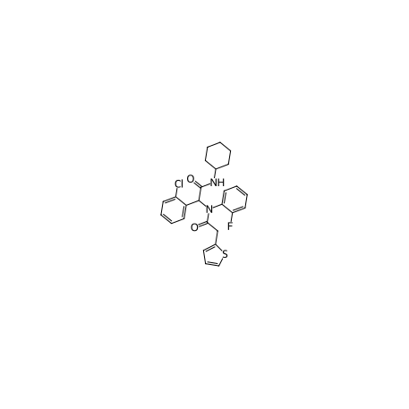 O=C(NC1CCCCC1)C(c1ccccc1Cl)N(C(=O)Cc1cccs1)c1ccccc1F